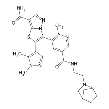 Cc1ncc(C(=O)NCCN2CC3CCC2C3)cc1-c1c(-c2cnn(C)c2C)sc2c(C(N)=O)cnn12